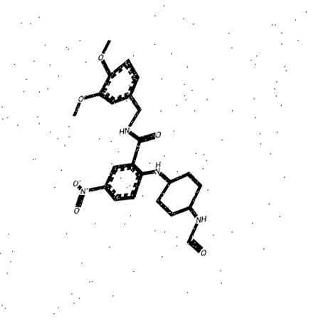 COc1ccc(CNC(=O)c2cc([N+](=O)[O-])ccc2NC2CCC(NC=O)CC2)cc1OC